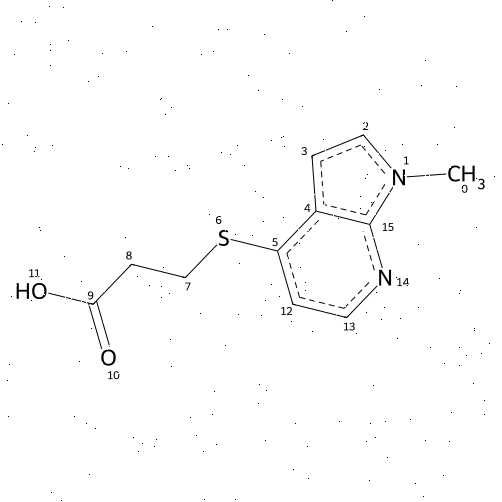 Cn1ccc2c(SCCC(=O)O)ccnc21